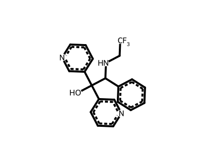 OC(c1cccnc1)(c1cccnc1)C(NCC(F)(F)F)c1ccccc1